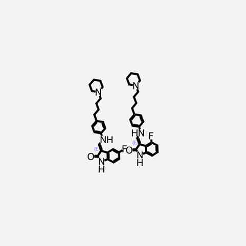 O=C1Nc2ccc(F)cc2/C1=C\Nc1ccc(CCCCN2CCCCC2)cc1.O=C1Nc2cccc(F)c2/C1=C\Nc1ccc(CCCCN2CCCCC2)cc1